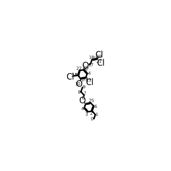 CCc1ccc(OCCCOc2c(Cl)cc(OCC=C(Cl)Cl)cc2Cl)cc1